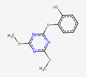 CSc1nc(SC)nc(Sc2ccccc2S)n1